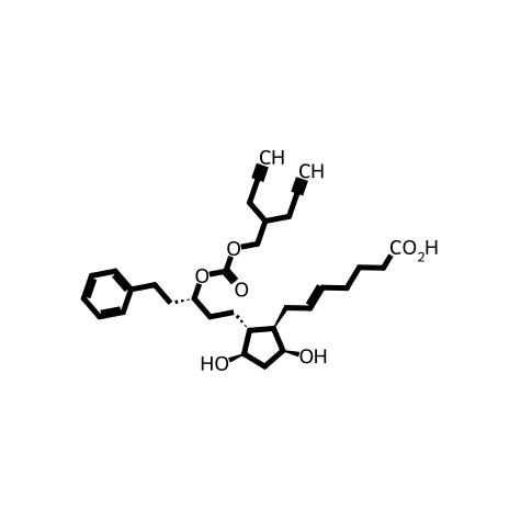 C#CCC(CC#C)COC(=O)O[C@@H](CCc1ccccc1)CC[C@@H]1[C@@H](C/C=C/CCCC(=O)O)[C@@H](O)C[C@H]1O